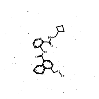 CCOCc1ccc(C(=O)Nc2cccnc2C(=O)NCC2CCC2)c2ccccc12